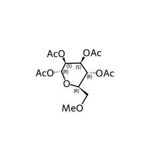 COC[C@H]1O[C@H](OC(C)=O)[C@@H](OC(C)=O)[C@@H](OC(C)=O)[C@@H]1OC(C)=O